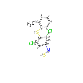 FC(F)(F)c1ccccc1Sc1c(Cl)cc(N=S)cc1Cl